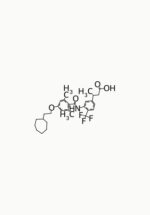 Cc1cc(OCCC2CCCCCC2)cc(C)c1C(=O)Nc1cc(C(C)CC(=O)O)ccc1C(F)(F)F